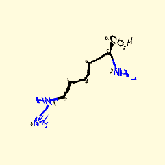 NNCCCC[C@H](N)C(=O)O